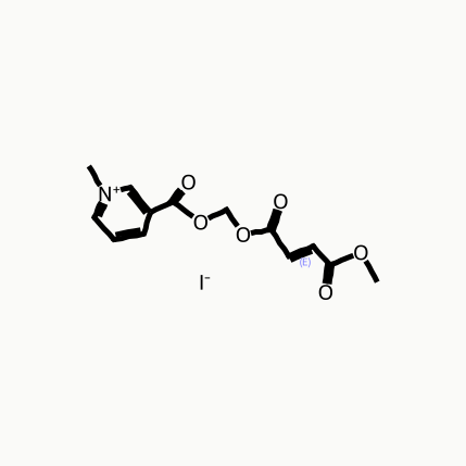 COC(=O)/C=C/C(=O)OCOC(=O)c1ccc[n+](C)c1.[I-]